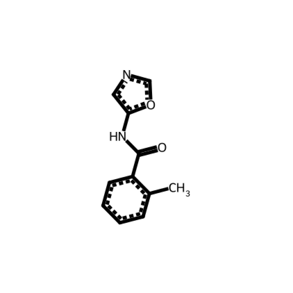 Cc1ccccc1C(=O)Nc1cnco1